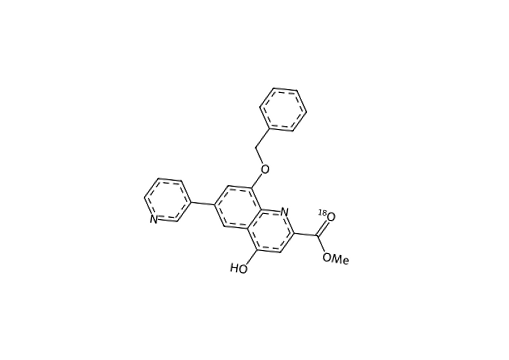 COC(=[18O])c1cc(O)c2cc(-c3cccnc3)cc(OCc3ccccc3)c2n1